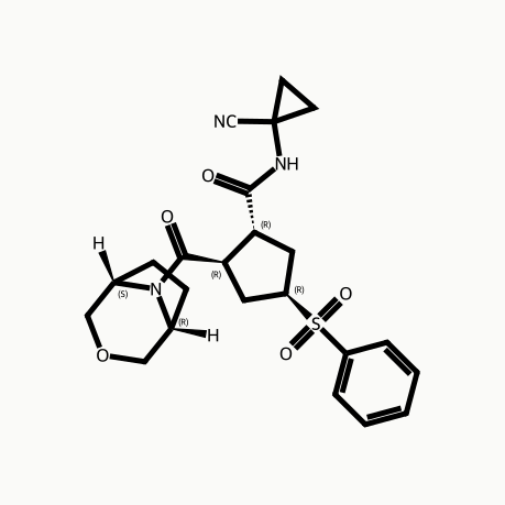 N#CC1(NC(=O)[C@@H]2C[C@@H](S(=O)(=O)c3ccccc3)C[C@H]2C(=O)N2[C@@H]3CC[C@H]2COC3)CC1